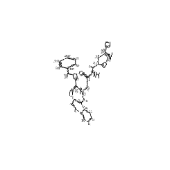 O=C(CN(Cc1cccc2ccccc12)C(=O)OCc1ccccc1)NCC1CC(Cl)=NO1